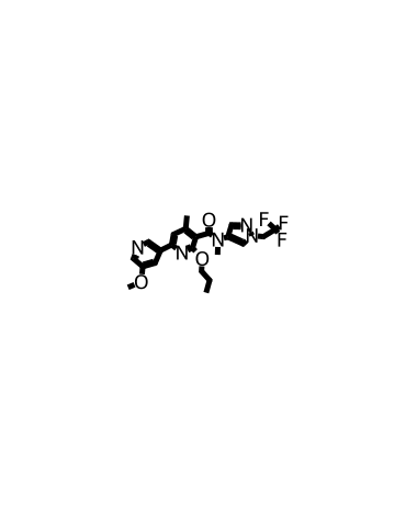 CCCOc1nc(-c2cncc(OC)c2)cc(C)c1C(=O)N(C)c1cnn(CC(F)(F)F)c1